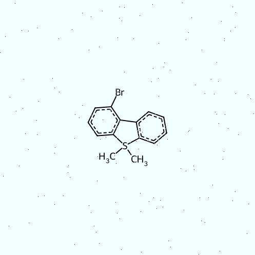 CS1(C)c2ccccc2-c2c(Br)cccc21